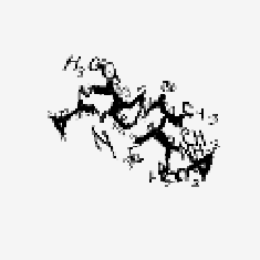 C=N/C(NC1(C)CC1)=C(\CC)C(C(=O)N1Cc2nc(C3CC3)nc(OC)c2C1)=C(C)C